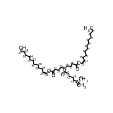 CCCCCCCCCCC/C=C\OC(=O)CCCN(CCCC(=O)O/C=C\CCCCCCCCCCC)C(=O)SCCCN(C)C